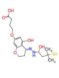 CC(C)(S)CC(O)N/N=C1\CCOc2cc(OCCCC(=O)O)cc(O)c21